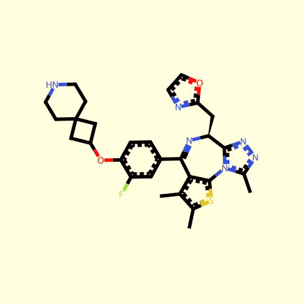 Cc1sc2c(c1C)C(c1ccc(OC3CC4(CCNCC4)C3)c(F)c1)=N[C@@H](Cc1ncco1)c1nnc(C)n1-2